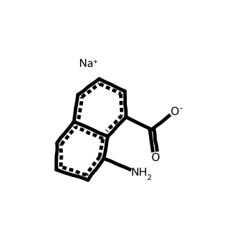 Nc1cccc2cccc(C(=O)[O-])c12.[Na+]